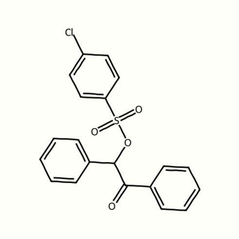 O=C(c1ccccc1)C(OS(=O)(=O)c1ccc(Cl)cc1)c1ccccc1